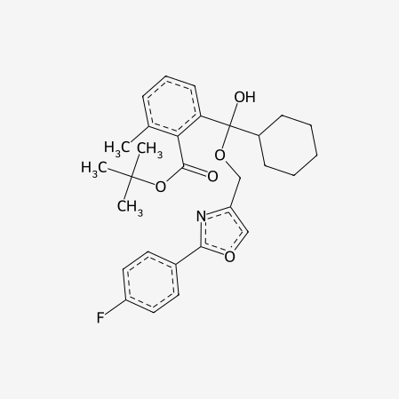 Cc1cccc(C(O)(OCc2coc(-c3ccc(F)cc3)n2)C2CCCCC2)c1C(=O)OC(C)(C)C